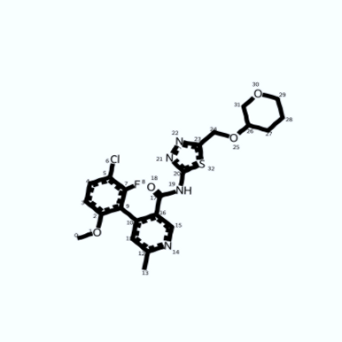 COc1ccc(Cl)c(F)c1-c1cc(C)ncc1C(=O)Nc1nnc(COC2CCCOC2)s1